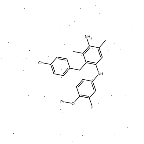 Cc1cc(Nc2ccc(OC(C)C)c(F)c2)c(Cc2ccc(Cl)cc2)c(C)c1N